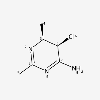 CC1=N[C@@H](C)[C@@H](Cl)C(N)=N1